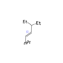 CCC/C=C/C(CC)CC